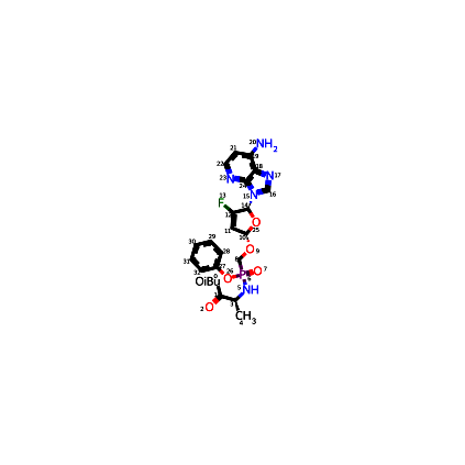 CC(C)COC(=O)[C@H](C)NP(=O)(CO[C@@H]1C=C(F)[C@H](n2cnc3c(N)ccnc32)O1)Oc1ccccc1